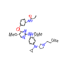 C=CC(=O)Nc1cccc(Oc2nc(Nc3ccc(N(C4CC4)[C@H]4CCN(CCOC)C4)cc3OC)ncc2OC)c1